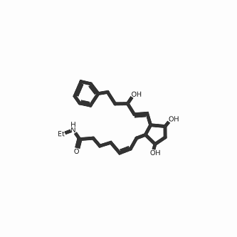 CCNC(=O)CCC/C=C\CC1C(O)CC(O)C1/C=C/C(O)CCc1ccccc1